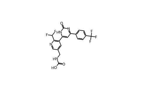 O=C(O)NCc1cnc(C(F)F)c(-c2cc(-c3ccc(C(F)(F)F)cc3)nc(=O)[nH]2)c1